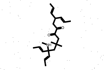 CC=CC(C=CC)CC(=O)C(=O)CC(C)(C)CC(C=CC)(C=CC)NC